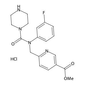 COC(=O)c1ccc(CN(C(=O)N2CCNCC2)c2cccc(F)c2)nc1.Cl